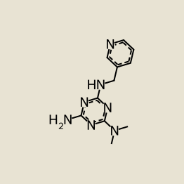 CN(C)c1nc(N)nc(NCc2cccnc2)n1